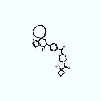 O=C(c1ccc(C2CC3(CCCCCCCCC3)c3nccn3N2)cc1)N1CCN(C(=O)C2(O)CCC2)CC1